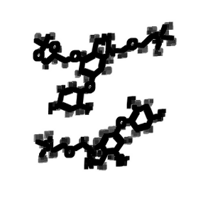 CC1(C)OCC(COc2cc(Oc3ccc(F)cc3F)cc3c2cnn3COCC[Si](C)(C)C)O1.C[Si](C)(C)CCOCn1ncc2c(Br)cc(Oc3ccc(F)cc3F)cc21